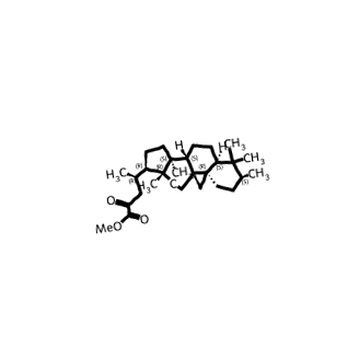 COC(=O)C(=O)C[C@@H](C)[C@H]1CC[C@@]2(C)[C@@H]3CC[C@H]4C(C)(C)[C@@H](C)CC[C@@]45C[C@@]35CC[C@]12C